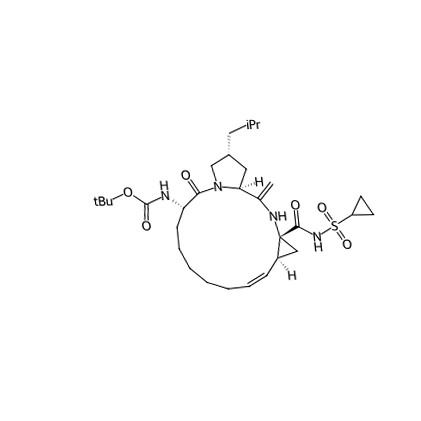 C=C1N[C@]2(C(=O)NS(=O)(=O)C3CC3)C[C@H]2/C=C\CCCCC[C@H](NC(=O)OC(C)(C)C)C(=O)N2C[C@H](CC(C)C)C[C@@H]12